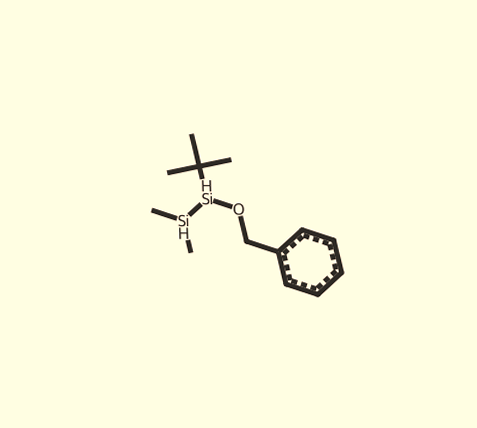 C[SiH](C)[SiH](OCc1ccccc1)C(C)(C)C